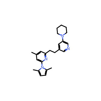 Cc1cc(CCc2cncc(N3CCCCC3)c2)nc(-n2c(C)ccc2C)c1